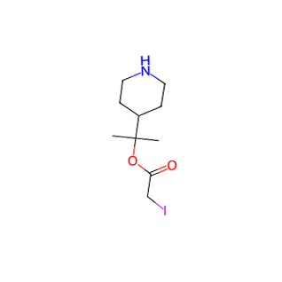 CC(C)(OC(=O)CI)C1CCNCC1